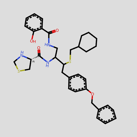 O=C(NCC(NC(=O)[C@@H]1CSCN1)C(Cc1ccc(OCc2ccccc2)cc1)SCC1CCCCC1)c1ccccc1O